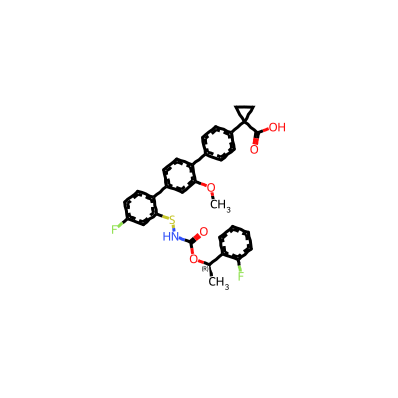 COc1cc(-c2ccc(F)cc2SNC(=O)O[C@H](C)c2ccccc2F)ccc1-c1ccc(C2(C(=O)O)CC2)cc1